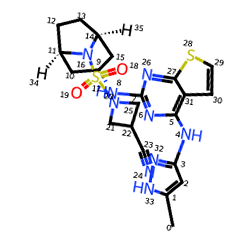 Cc1cc(Nc2nc(N[C@@H]3C[C@H]4CC[C@@H](C3)N4S(=O)(=O)N3CC(C#N)C3)nc3sccc23)n[nH]1